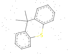 CC1(C)c2[c]cccc2Sc2ccccc21